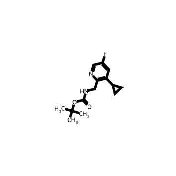 CC(C)(C)OC(=O)NCc1ncc(F)cc1C1CC1